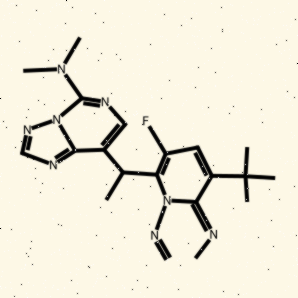 C=Nn1c(C(C)c2cnc(N(C)C)n3ncnc23)c(F)cc(C(C)(C)C)/c1=N/C